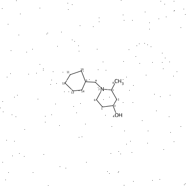 CC1CC(O)CCN1CC1CCCCC1